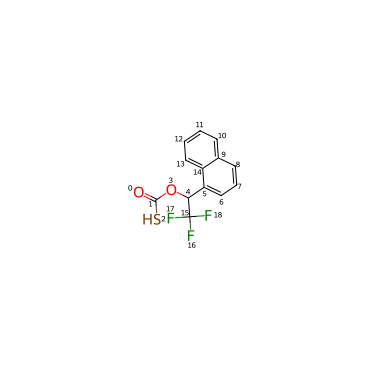 O=C(S)OC(c1cccc2ccccc12)C(F)(F)F